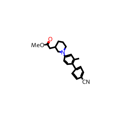 COC(=O)CC1CCCN(c2ccc(-c3ccc(C#N)cc3)c(C)c2)C1